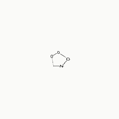 C1[N]OOO1